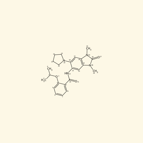 CC(C)Oc1ccccc1C(=O)Nc1cc2c(cc1N1CCCC1)n(C)c(=O)n2C